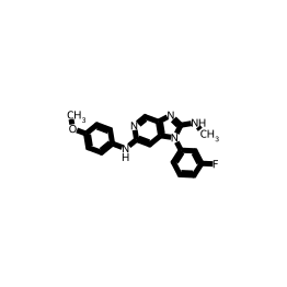 CNc1nc2cnc(Nc3ccc(OC)cc3)cc2n1-c1cccc(F)c1